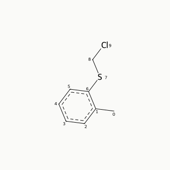 Cc1ccccc1SCCl